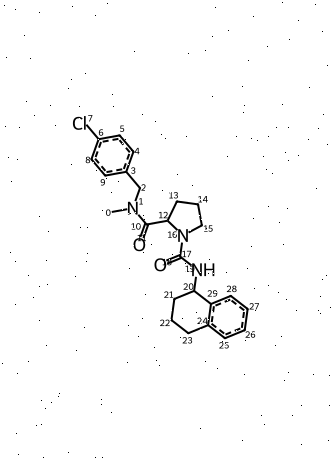 CN(Cc1ccc(Cl)cc1)C(=O)C1CCCN1C(=O)NC1CCCc2ccccc21